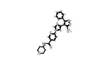 O=C(NC1CCOCC1)c1ccc(-n2cnc(-c3c(-c4ccccc4)noc3C(F)(F)F)c2)nc1